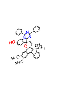 COc1cc2c3c(c4c(c2cc1OC)-c1ccccc1C4(C)C)C=CC(c1ccc(O)cc1)(c1nc(-c2ccccc2)nc(-c2ccccc2)n1)O3